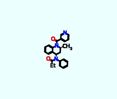 CCC(=O)N(c1ccccc1)[C@H]1C[C@@H](C)N(C(=O)c2cccnc2)c2ccccc21